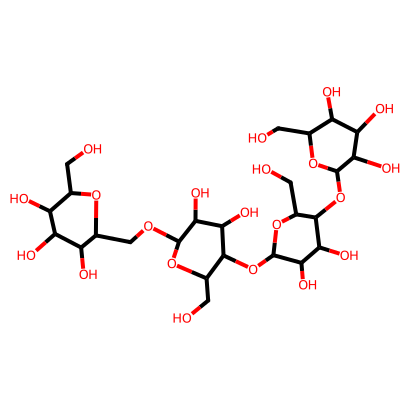 OCC1OC(COC2OC(CO)C(OC3OC(CO)C(OC4OC(CO)C(O)C(O)C4O)C(O)C3O)C(O)C2O)C(O)C(O)C1O